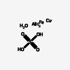 O.O=S(=O)(O)O.[AlH3].[Cu].[Fe]